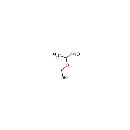 CCCCO[C](C)C=O